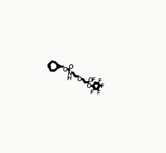 O=C(CCOCCCNC(=O)OCC1C2CCC#CCCC21)Oc1c(F)c(F)c(F)c(F)c1F